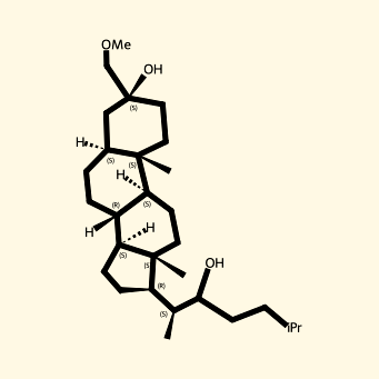 COC[C@]1(O)CC[C@@]2(C)[C@@H](CC[C@@H]3[C@@H]2CC[C@]2(C)[C@@H]([C@H](C)C(O)CCC(C)C)CC[C@@H]32)C1